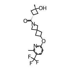 Cc1nc(OC2CC3(C2)CN(C(=O)[C@H]2C[C@@](C)(O)C2)C3)ccc1C(F)(F)F